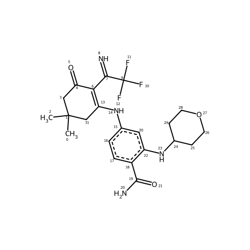 CC1(C)CC(=O)C(C(=N)C(F)(F)F)=C(Nc2ccc(C(N)=O)c(NC3CCOCC3)c2)C1